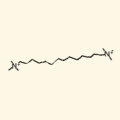 C[N+](C)(C)CCCCCCCCCCCCCC[N+](C)(C)C